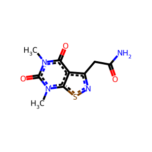 Cn1c(=O)c2c(CC(N)=O)nsc2n(C)c1=O